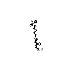 CC(C)(C)OC(=O)CCOCCOCCS(C)(=O)=O